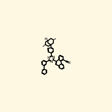 C[C@@H]1C[C@@H]2C[C@H](C)CC(c3ccc(-c4nc(-c5cccc(-c6ccccc6)c5)nc(-c5cc6ccccc6c6c(C#N)cccc56)n4)cc3)(C1)C2